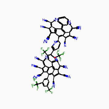 N#CC(C#N)=C1C(C#N)=C(C#N)c2c1c(-c1cc(C(F)(F)F)c(-c3ccc(-c4c5c(c(-c6ccccc6)c6c4C(C#N)=C(C#N)C6=C(C#N)C#N)C(=C(C#N)C#N)C(C#N)=C5C#N)nc3)c(C(F)(F)F)c1)c1c(c2-c2cc(C(F)(F)F)cc(C(F)(F)F)c2)C(C#N)=C(C#N)C1=C(C#N)C#N